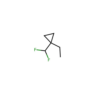 CCC1(C(F)F)CC1